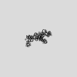 Cc1ncnc(C(=O)N2CCC3(CC2)OCc2c3c(=O)n3nc(N4CCOCC4)nc3n2CC(=O)Nc2ccc(C(F)(F)F)cc2Cl)c1OCc1ccccc1